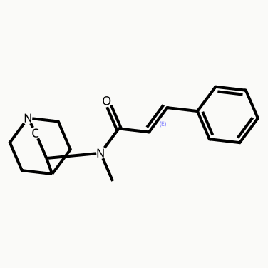 CN(C(=O)/C=C/c1ccccc1)C1CN2CCC1CC2